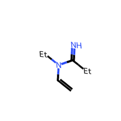 C=CN(CC)C(=N)CC